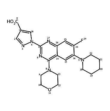 O=C(O)c1cnn(-c2nc(N3CCOCC3)c3cc(N4CCCCC4)c(F)cc3n2)c1